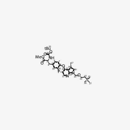 COC(=O)[C@H](Cc1ccc(Oc2ccnc3c2c(I)cn3COCCS(C)(C)C)c(F)c1)NC(=O)OC(C)(C)C